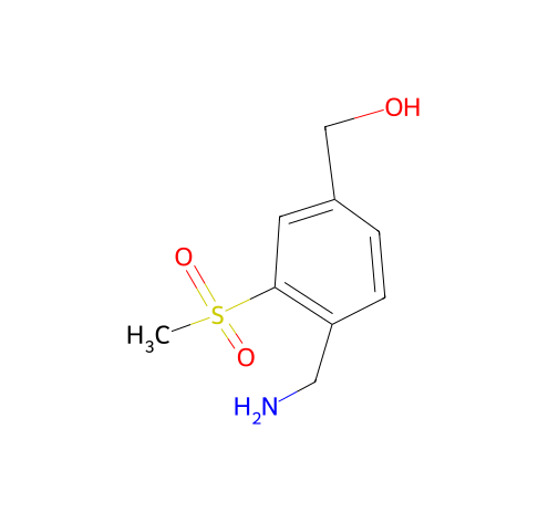 CS(=O)(=O)c1cc(CO)ccc1CN